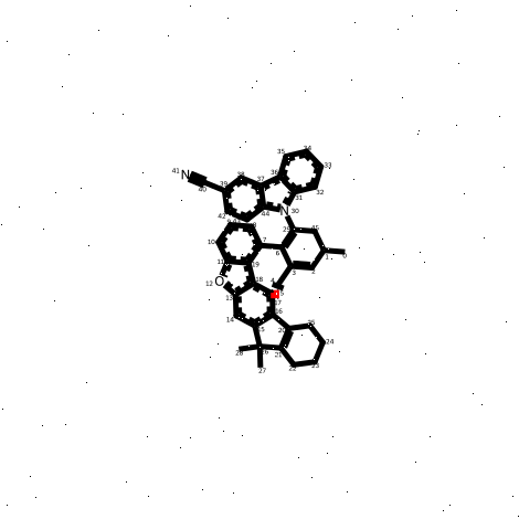 CC1C=C(C#N)C(c2cccc3oc4cc5c(cc4c23)C2=C(CCCC2)C5(C)C)=C(n2c3ccccc3c3cc(C#N)ccc32)C1